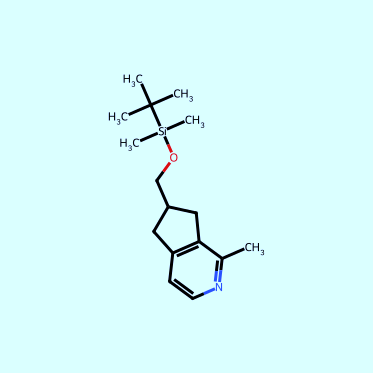 Cc1nccc2c1CC(CO[Si](C)(C)C(C)(C)C)C2